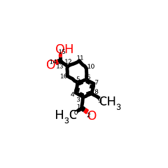 CC(=O)c1cc2c(cc1C)CCC(C(=O)O)C2